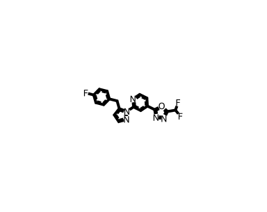 Fc1ccc(Cc2ccnn2-c2cc(-c3nnc(C(F)F)o3)ccn2)cc1